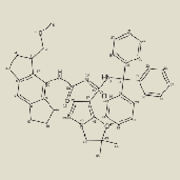 COCC1CCc2cc3c(c(NC(=O)N=S(=O)(NC(c4ccccc4)(c4ccccc4)c4ccccc4)c4cnn5c4OC(C)(C)C5)c21)CCC3